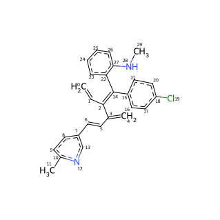 C=C/C(C(=C)/C=C/c1ccc(C)nc1)=C(/c1ccc(Cl)cc1)c1ccccc1NC